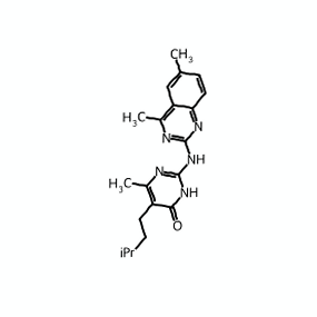 Cc1ccc2nc(Nc3nc(C)c(CCC(C)C)c(=O)[nH]3)nc(C)c2c1